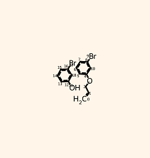 C=CCOc1cccc(Br)c1.Oc1cccc(Br)c1